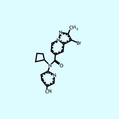 Cc1nn2ccc(C(=O)N(c3ccc(C#N)cn3)C3CCC3)cc2c1Br